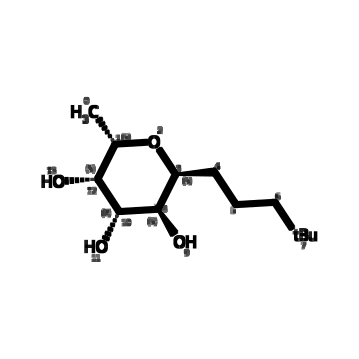 C[C@@H]1O[C@@H](CCCC(C)(C)C)[C@@H](O)[C@H](O)[C@@H]1O